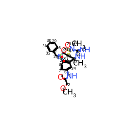 COCC(=O)Nc1ccc(F)c([C@@]2(C)NC(=N)N(C)S(=O)(=O)[C@@]23CCN(Cc2ccccc2)C3)c1